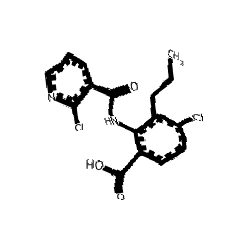 CCCc1c(Cl)ccc(C(=O)O)c1NC(=O)c1cccnc1Cl